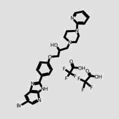 O=C(O)C(F)(F)F.O=C(O)C(F)(F)F.OC(COc1ccc(-c2nc3cc(Br)cnc3[nH]2)cc1)CN1CCN(c2ccccn2)CC1